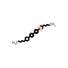 CCCCCC1CCC(c2ccc(-c3ccc(C4OCC(CCCCC)CO4)cc3)c(F)c2)CC1